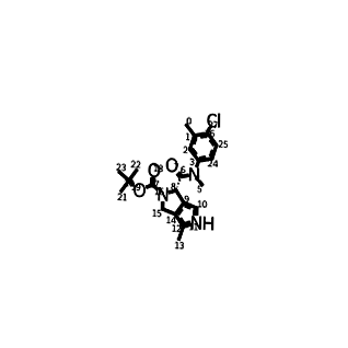 Cc1cc(N(C)C(=O)[C@@H]2c3c[nH]c(C)c3CN2C(=O)OC(C)(C)C)ccc1Cl